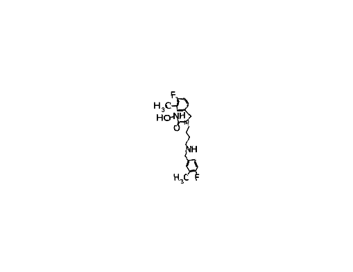 Cc1cc(CNCCCC[C@@H](Cc2ccc(F)c(C)c2)C(=O)NO)ccc1F